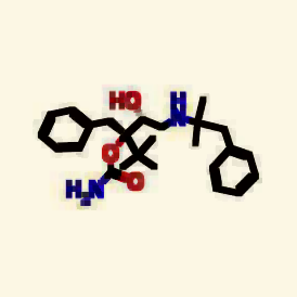 CC(C)(Cc1ccccc1)NC[C@@H](O)[C@@](Cc1ccccc1)(OC(N)=O)C(C)(C)C